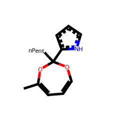 CCCCCC1(c2ccc[nH]2)OC=CC=C(C)O1